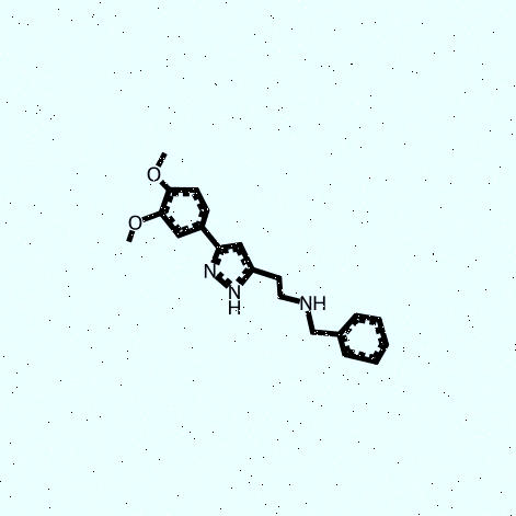 COc1ccc(-c2cc(CCNCc3ccccc3)[nH]n2)cc1OC